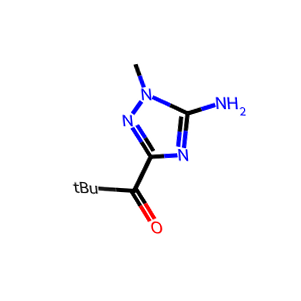 Cn1nc(C(=O)C(C)(C)C)nc1N